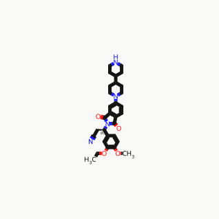 CCOc1cc([C@@H](CC#N)N2C(=O)c3ccc(N4CCC(C5CCNCC5)CC4)cc3C2=O)ccc1OC